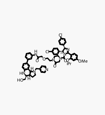 COc1ccc(C2=N[C@H](c3ccc(Cl)cc3)[C@H](c3ccc(Cl)cc3)N2C(=O)N2CCN(CCOCC(=O)Nc3cccc(-c4ccc5c(c4)[C@H]4[C@H](CCN4Cc4ccncc4)[C@@H](CO)N5)c3)C(=O)C2)c(OC(C)C)c1